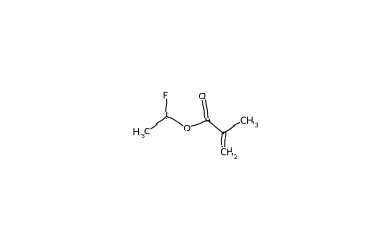 C=C(C)C(=O)O[C](C)F